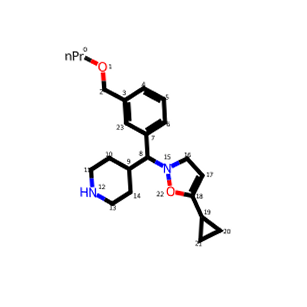 CCCOCc1cccc(C(C2CCNCC2)N2CC=C(C3CC3)O2)c1